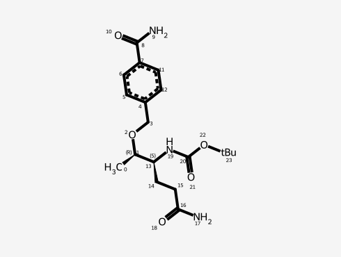 C[C@@H](OCc1ccc(C(N)=O)cc1)[C@H](CCC(N)=O)NC(=O)OC(C)(C)C